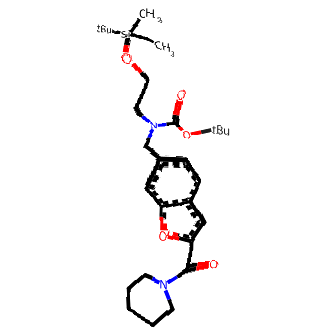 CC(C)(C)OC(=O)N(CCO[Si](C)(C)C(C)(C)C)Cc1ccc2cc(C(=O)N3CCCCC3)oc2c1